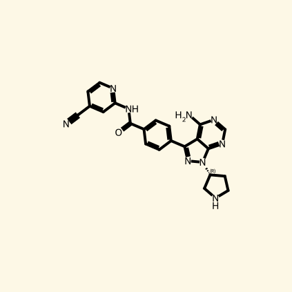 N#Cc1ccnc(NC(=O)c2ccc(-c3nn([C@@H]4CCNC4)c4ncnc(N)c34)cc2)c1